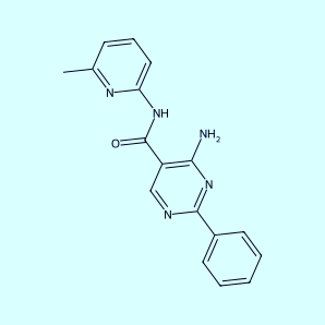 Cc1cccc(NC(=O)c2cnc(-c3ccccc3)nc2N)n1